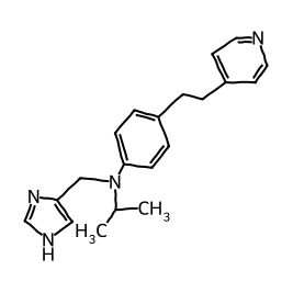 CC(C)N(Cc1c[nH]cn1)c1ccc(CCc2ccncc2)cc1